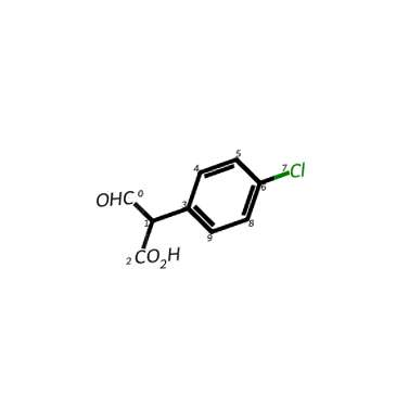 O=CC(C(=O)O)c1ccc(Cl)cc1